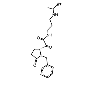 CC(C)C(C)NCCCNC(=O)C(=O)[C@H]1CCC(=O)N1Cc1ccccc1